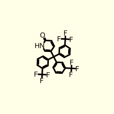 O=c1ccc(C(c2cccc(C(F)(F)F)c2)(c2cccc(C(F)(F)F)c2)c2cccc(C(F)(F)F)c2)c[nH]1